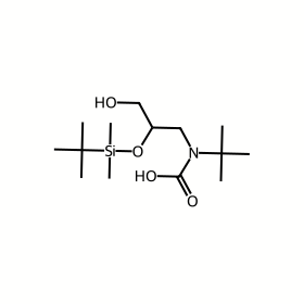 CC(C)(C)N(CC(CO)O[Si](C)(C)C(C)(C)C)C(=O)O